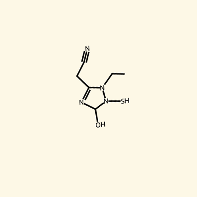 CCN1C(CC#N)=NC(O)N1S